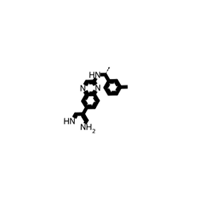 Cc1cccc([C@@H](C)Nc2cnc3cc(/C(C=N)=C/N)ccc3n2)c1